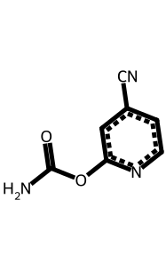 N#Cc1ccnc(OC(N)=O)c1